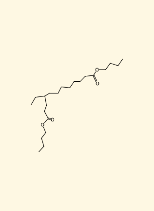 CCCCOC(=O)CCCCCCCC(CC)CCC(=O)OCCCC